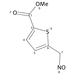 COC(=O)c1ccc(CN=O)s1